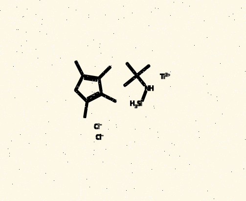 CC(C)(C)N[SiH3].CC1=C(C)C(C)=C(C)C1.[Cl-].[Cl-].[Ti+2]